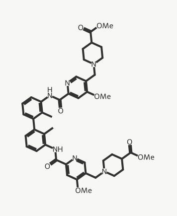 COC(=O)C1CCN(Cc2cnc(C(=O)Nc3cccc(-c4cccc(NC(=O)c5cc(OC)c(CN6CCC(C(=O)OC)CC6)cn5)c4C)c3C)cc2OC)CC1